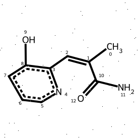 CC(=Cc1ncccc1O)C(N)=O